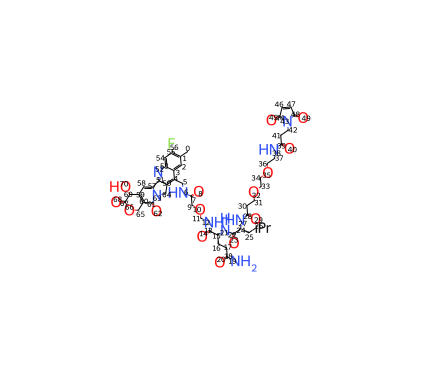 Cc1cc2c(CNC(=O)COCNC(=O)[C@H](CCC(N)=O)NC(=O)[C@H](CC(C)C)NC(=O)CCOCCOCCNC(=O)CCN3C(=O)C=CC3=O)c3c(nc2cc1F)-c1cc2c(c(=O)n1C3)COC(=O)[C@H]2O